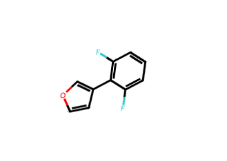 Fc1cccc(F)c1-c1c[c]oc1